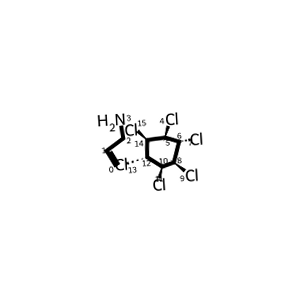 C=CCN.Cl[C@H]1[C@H](Cl)[C@@H](Cl)[C@@H](Cl)[C@H](Cl)[C@H]1Cl